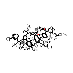 CN[C@@H](CC=O)C(=O)N[C@@H](C(=O)NC(C(N)=O)C1=C=C=C(O)C(c2c(O)cc(O)cc2[C@H](NC(=O)C[C@H](O)C2=CCC#CC(Cl)=C2)C(=O)O)C1)c1cc(O)c(O[C@H]2C[C@@H](O)C[C@@H](CO)O2)c(Oc2ccc([C@@H](O)[C@H](C=O)NC(=O)CCC(C)C)cc2Cl)c1